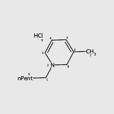 CCCCCCN1C=CC=C(C)C1.Cl